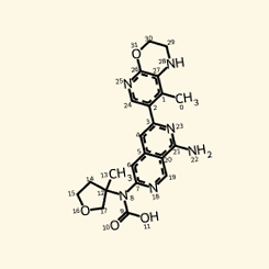 Cc1c(-c2cc3cc(N(C(=O)O)C4(C)CCOC4)ncc3c(N)n2)cnc2c1NCCO2